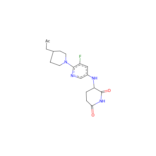 CC(=O)CC1CCN(c2ncc(NC3CCC(=O)NC3=O)cc2F)CC1